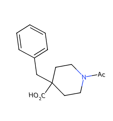 CC(=O)N1CCC(Cc2ccccc2)(C(=O)O)CC1